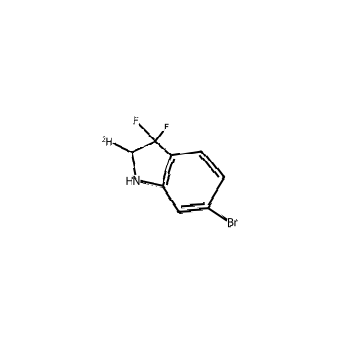 [2H]C1Nc2cc(Br)ccc2C1(F)F